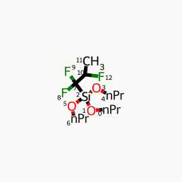 CCCO[Si](OCCC)(OCCC)C(F)(F)C(C)F